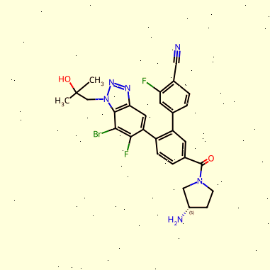 CC(C)(O)Cn1nnc2cc(-c3ccc(C(=O)N4CC[C@H](N)C4)cc3-c3ccc(C#N)c(F)c3)c(F)c(Br)c21